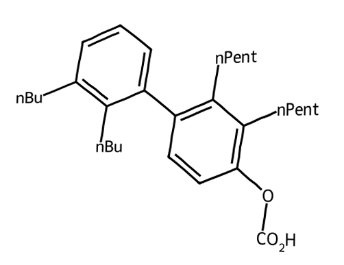 CCCCCc1c(OC(=O)O)ccc(-c2cccc(CCCC)c2CCCC)c1CCCCC